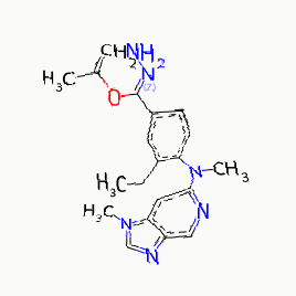 C=C(C)O/C(=N\N)c1ccc(N(C)c2cc3c(cn2)ncn3C)c(CC)c1